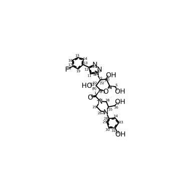 O=C([C@@H]1O[C@H](CO)[C@H](O)[C@H](n2cc(-c3cccc(F)c3)nn2)[C@H]1O)N1CCN(c2ccc(O)cc2)C(CO)C1